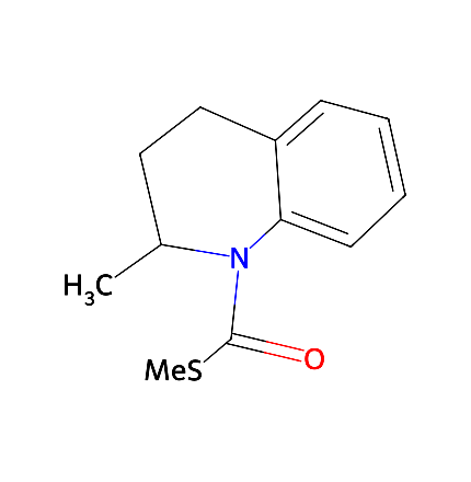 CSC(=O)N1c2ccccc2CCC1C